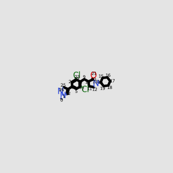 Cn1cc(-c2cc(Cl)c(CC3CCN(C4CCCCC4)C3=O)c(Cl)c2)cn1